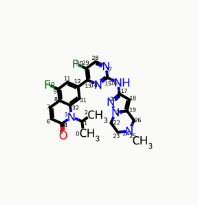 CC(C)n1c(=O)ccc2c(F)cc(-c3nc(Nc4cc5n(n4)CCN(C)C5)ncc3F)cc21